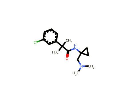 CN(C)CC1(NC(=O)C(C)(C)c2cccc(Cl)c2)CC1